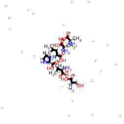 CC(C)C[C@H](N)C(=O)O.CC(C)[C@H](N)C(=O)O.C[C@H](N)C(=O)O.C[C@H](N)C(=O)O.N[C@@H](CO)C(=O)O.O=C(O)[C@@H]1CCCN1